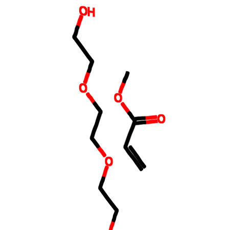 C=CC(=O)OC.OCCOCCOCCO